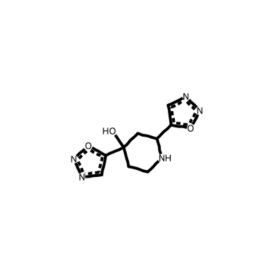 OC1(c2cnno2)CCNC(c2cnno2)C1